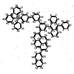 c1ccc(-c2c3ccccc3c(-c3cc(-c4cccc(-c5ccc([Si](c6ccccc6)(c6ccccc6)c6ccccc6)cc5)c4)cc(-c4ccc5ccc6c(-c7ccc8ccccc8c7)ccc7ccc4c5c76)c3)c3ccccc23)cc1